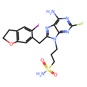 Nc1nc(F)nc2c1nc(Cc1cc3c(cc1I)CCO3)n2CCCS(N)(=O)=O